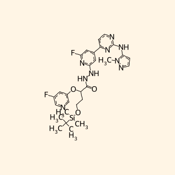 Cn1nccc1Nc1nccc(-c2cc(F)nc(NNC(=O)C(CCO[Si](C)(C)C(C)(C)C)Oc3cncc(F)c3)c2)n1